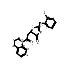 O=C1N=C(Nc2ccccc2F)SC1CC(=O)N1CCCc2ccccc21